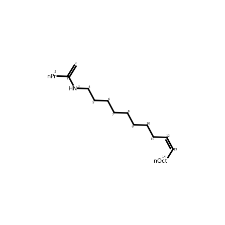 C=C(CCC)NCCCCCCCC/C=C\CCCCCCCC